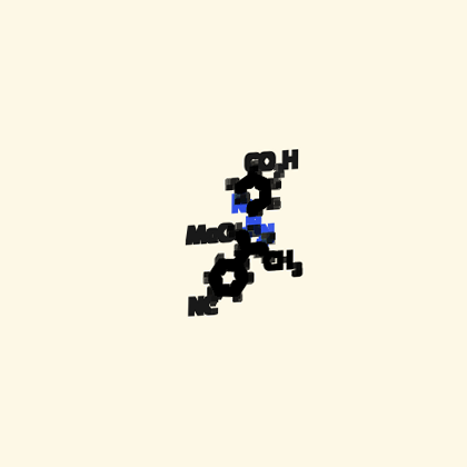 COc1c(-c2ccc(C#N)cc2)c(C)nn1-c1ccc(C(=O)O)cn1